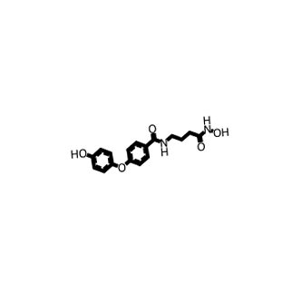 O=C(CCCNC(=O)c1ccc(Oc2ccc(O)cc2)cc1)NO